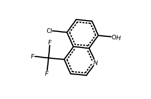 Oc1ccc(Cl)c2c(C(F)(F)F)ccnc12